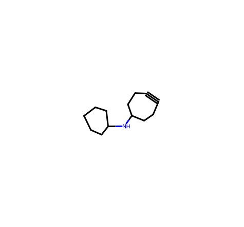 C1#CCCC(NC2CCCCC2)CC1